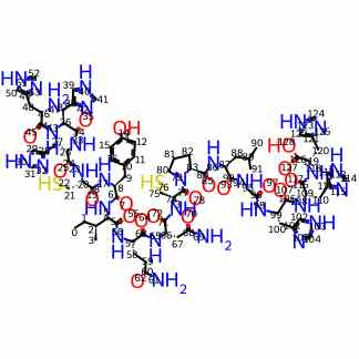 CC[C@H](C)[C@H](NC(=O)[C@H](Cc1ccc(O)cc1)NC(=O)[C@H](CS)NC(=O)[C@H](Cc1c[nH]cn1)NC(=O)[C@H](Cc1c[nH]cn1)NC(=O)[C@@H](N)Cc1c[nH]cn1)C(=O)N[C@@H](CCC(N)=O)C(=O)N[C@@H](CC(N)=O)C(=O)N[C@@H](CS)C(=O)N1CCC[C@H]1C(=O)N[C@@H](CC(C)C)C(=O)NCC(=O)N[C@@H](Cc1c[nH]cn1)C(=O)N[C@@H](Cc1c[nH]cn1)C(=O)N[C@@H](Cc1c[nH]cn1)C(=O)O